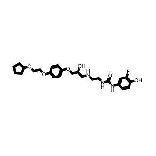 O=C(NCCNCC(O)COc1ccc(OCCOC2CCCC2)cc1)Nc1ccc(O)c(F)c1